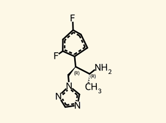 C[C@@H](N)[C@@H](Cn1cncn1)c1ccc(F)cc1F